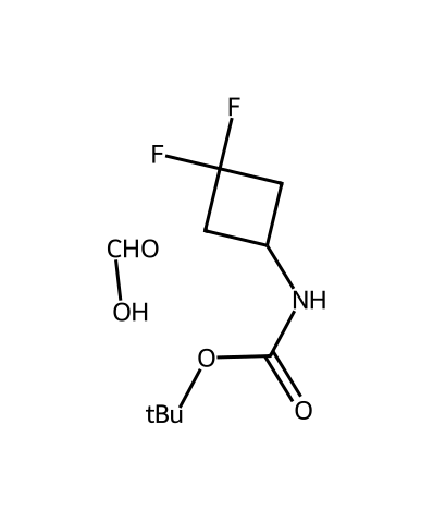 CC(C)(C)OC(=O)NC1CC(F)(F)C1.O=CO